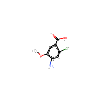 COc1cc(C(=O)O)c(Cl)cc1N